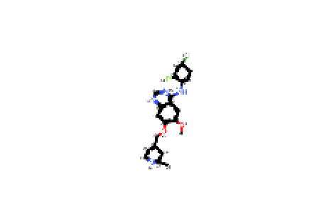 COc1cc2c(Nc3ccc(Cl)cc3F)ncnc2cc1OCc1ccnc(C)c1